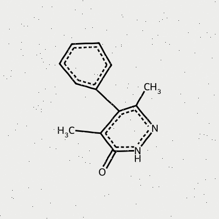 Cc1n[nH]c(=O)c(C)c1-c1ccccc1